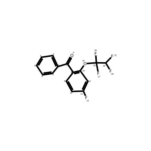 O=C(c1ccccc1)c1ccc(F)cc1OC(F)(F)C(F)F